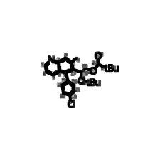 Cc1cc2ncccc2c(-c2ccc(Cl)cc2)c1[C@@H](COC(=O)C(C)(C)C)OC(C)(C)C